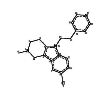 CN1CCc2c(c3cc(Cl)ccc3n2CCc2ccncc2)C1